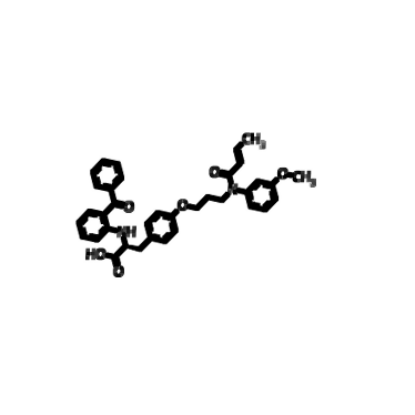 C/C=C/C(=O)N(CCCOc1ccc(C[C@H](Nc2ccccc2C(=O)c2ccccc2)C(=O)O)cc1)c1cccc(OC)c1